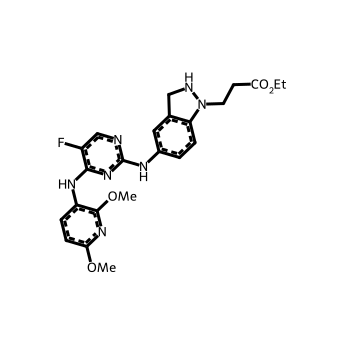 CCOC(=O)CCN1NCc2cc(Nc3ncc(F)c(Nc4ccc(OC)nc4OC)n3)ccc21